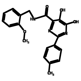 COc1ccccc1CNC(=O)c1nc(-c2ccc(C)cc2)nc(O)c1O